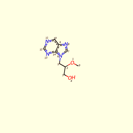 COC(CO)Cn1cnc2cncnc21